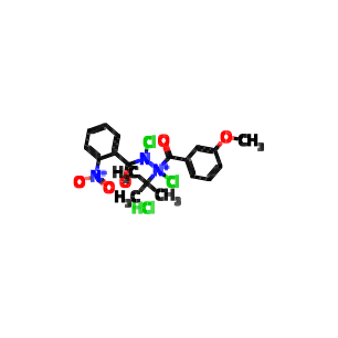 COc1cccc(C(=O)[N+](Cl)(N(Cl)C(=O)c2ccccc2[N+](=O)[O-])C(C)(C)C)c1.Cl